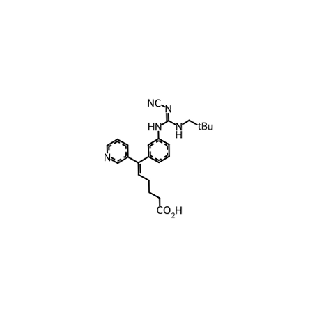 CC(C)(C)CN/C(=N/C#N)Nc1cccc(/C(=C\CCCC(=O)O)c2cccnc2)c1